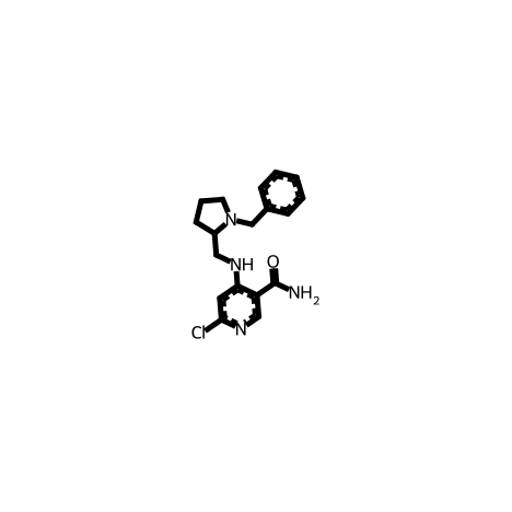 NC(=O)c1cnc(Cl)cc1NCC1CCCN1Cc1ccccc1